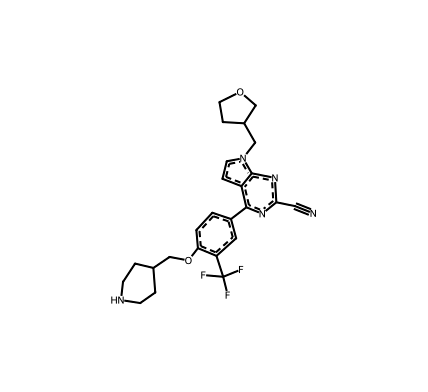 N#Cc1nc(-c2ccc(OCC3CCNCC3)c(C(F)(F)F)c2)c2ccn(CC3CCOC3)c2n1